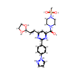 CS(=O)(=O)N1CCN(C(=O)c2cc(/C=C/C3OCCO3)nc(-c3ccc(-n4cccn4)cc3)n2)CC1